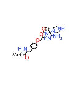 CCC(C(=N)N)(N1CCNCC1)N1CC(COc2ccc(CC(N)C(=O)OC)cc2)OC1=O